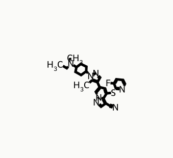 CCN(C)C1CCC(n2ncc(-c3cc(Sc4ncccc4F)c4c(C#N)cnn4c3)c2C)CC1